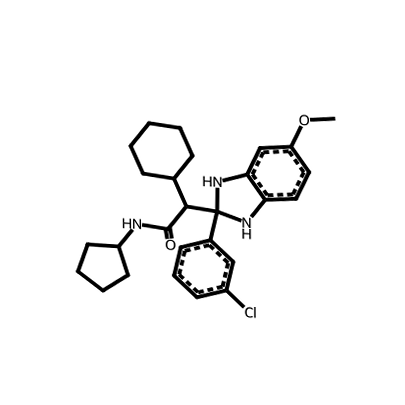 COc1ccc2c(c1)NC(c1cccc(Cl)c1)(C(C(=O)NC1CCCC1)C1CCCCC1)N2